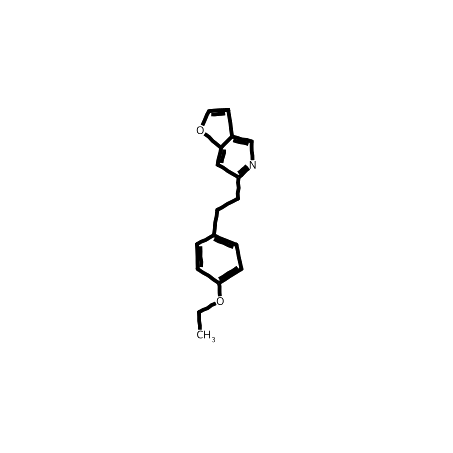 CCOc1ccc(CCc2cc3occc3cn2)cc1